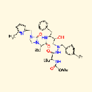 CCC(C)C(C(=O)NC(Cc1ccccc1)C(O)CN(Cc1ccc(C(C)C)cc1)NC(=O)C(NC(=O)OC)C(C)(C)C)N1CCN(Cc2cccc(C)n2)C1=O